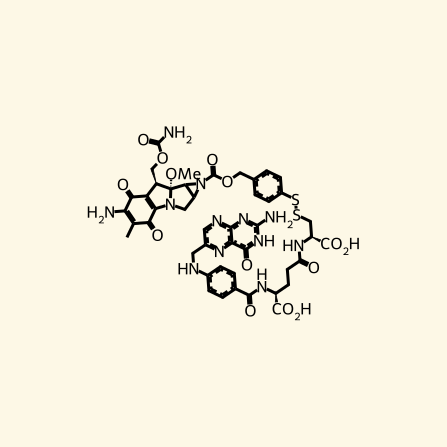 CO[C@]12C3C(CN1C1=C(C(=O)C(N)=C(C)C1=O)[C@H]2COC(N)=O)N3C(=O)OCc1ccc(SSC[C@H](NC(=O)CC[C@H](NC(=O)c2ccc(NCc3cnc4nc(N)[nH]c(=O)c4n3)cc2)C(=O)O)C(=O)O)cc1